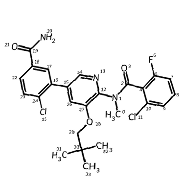 CN(C(=O)c1c(F)cccc1Cl)c1ncc(-c2cc(C(N)=O)ccc2Cl)cc1OCC(C)(C)C